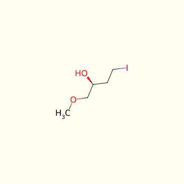 COC[C@@H](O)CCI